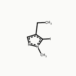 CCc1cnn(C)c1I